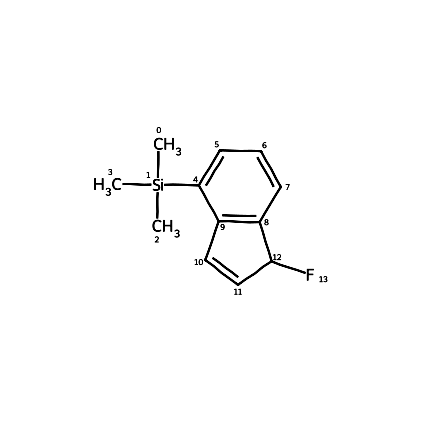 C[Si](C)(C)c1cccc2c1C=CC2F